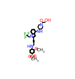 COc1cc(S(C)(=O)=O)ccc1NCC#Cc1cc2c(NC3CCN(C(=O)CO)CC3)cccc2n1CC(F)(F)F